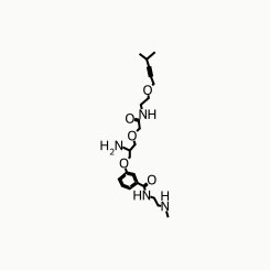 CNCCNC(=O)c1cccc(OCC(N)COCC(=O)NCCOCC#CC(C)C)c1